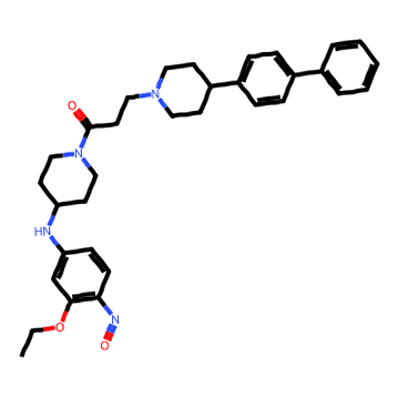 CCOc1cc(NC2CCN(C(=O)CCN3CCC(c4ccc(-c5ccccc5)cc4)CC3)CC2)ccc1N=O